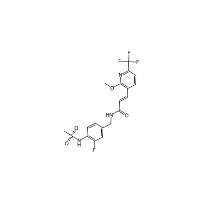 COc1nc(C(F)(F)F)ccc1C=CC(=O)NCc1ccc(NS(C)(=O)=O)c(F)c1